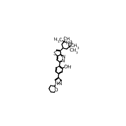 CC1(C)CC(c2csc3cc(-c4ccc(-c5cnn(C6CCCCO6)c5)cc4O)nnc23)CC(C)(C)N1